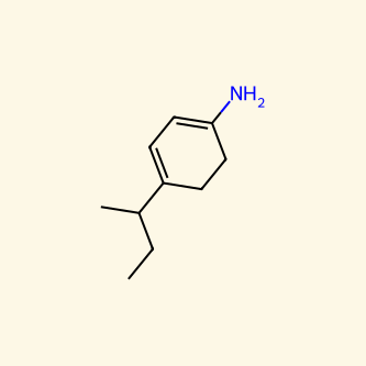 CCC(C)C1=CC=C(N)CC1